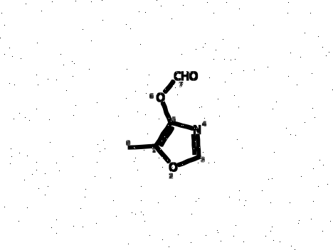 Cc1ocnc1OC=O